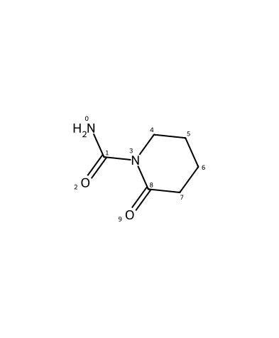 NC(=O)N1CCCCC1=O